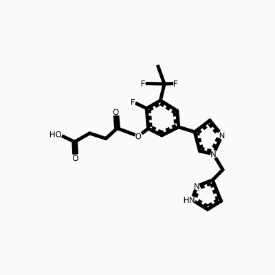 CC(F)(F)c1cc(-c2cnn(Cc3cc[nH]n3)c2)cc(OC(=O)CCC(=O)O)c1F